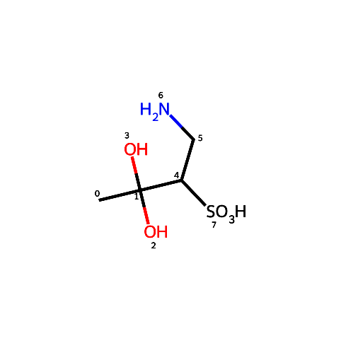 CC(O)(O)C(CN)S(=O)(=O)O